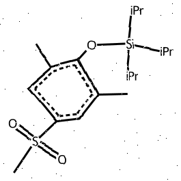 Cc1cc(S(C)(=O)=O)cc(C)c1O[Si](C(C)C)(C(C)C)C(C)C